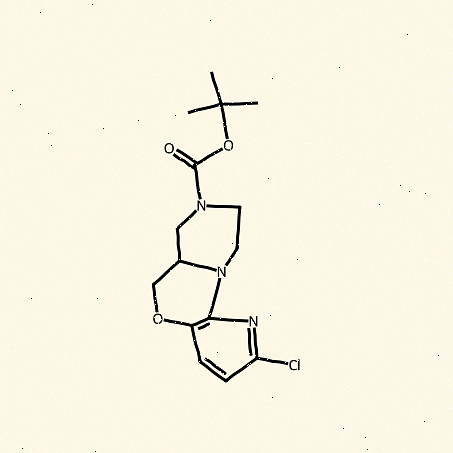 CC(C)(C)OC(=O)N1CCN2c3nc(Cl)ccc3OCC2C1